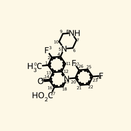 Cc1c(F)c(N2CCNCC2)cc2c1c(=O)c(C(=O)O)cn2-c1ccc(F)cc1F